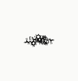 CCc1c([C@@]2(C)CCC[C@@]3(O)[C@@]45O[C@@H]4[C@@H]4O[C@H](C=C(C)C)OC(C)(C)[C@H]4O[C@H]5CC[C@@]32C)[nH]c2cccc(CC=C(C)C)c12